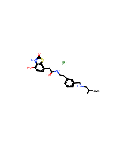 COC(C)CNCc1cccc(CCNC(O)Cc2ccc(O)c3[nH]c(=O)sc23)c1.Cl.Cl